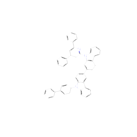 C1=CC(n2c3ccccc3c3cc(C4=Cc5c(c6ccccc6n5C5=NC(c6ccccc6)=CC(c6ccccc6)C5)CC4)ccc32)CC=C1c1ccccc1